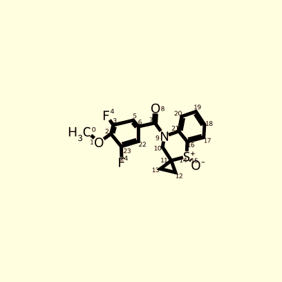 COc1c(F)cc(C(=O)N2CC3(CC3)[S+]([O-])c3ccccc32)cc1F